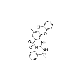 Cc1cc(Oc2ccccc2Cl)c2c(c1)S(=O)(=O)N=C(N[C@H](C)c1ccccc1)N2